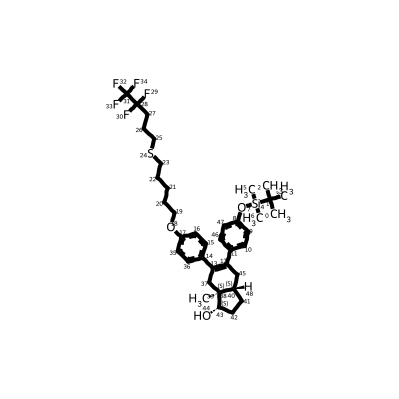 CC(C)(C)[Si](C)(C)Oc1ccc(C2=C(c3ccc(OCCCCCSCCCC(F)(F)C(F)(F)F)cc3)C[C@@]3(C)[C@@H](CC[C@@H]3O)C2)cc1